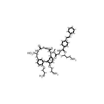 CN(C(=O)[C@@H](CCCCN)NC(=O)c1ccc(/C=C/c2ccccc2)cc1)[C@@H]1C(=O)NCC(=O)N[C@H](C(=O)O)Cc2ccc(OCCN)c(c2)-c2cc1ccc2OCCN